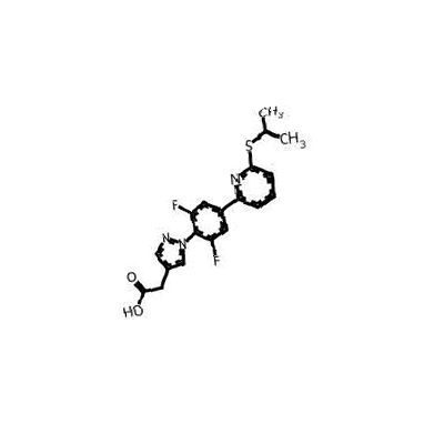 CC(C)Sc1cccc(-c2cc(F)c(-n3cc(CC(=O)O)cn3)c(F)c2)n1